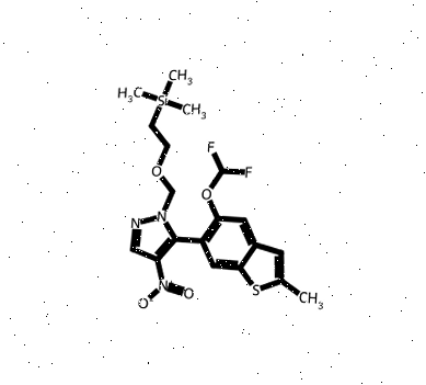 Cc1cc2cc(OC(F)F)c(-c3c([N+](=O)[O-])cnn3COCC[Si](C)(C)C)cc2s1